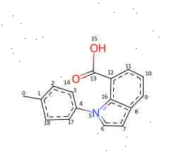 Cc1ccc(-n2ccc3cccc(C(=O)O)c32)cc1